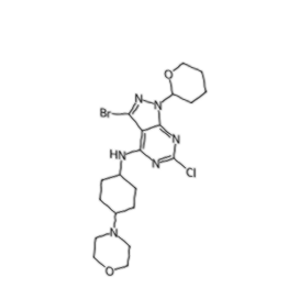 Clc1nc(NC2CCC(N3CCOCC3)CC2)c2c(Br)nn(C3CCCCO3)c2n1